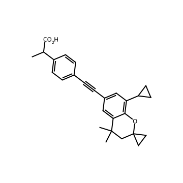 CC(C(=O)O)c1ccc(C#Cc2cc(C3CC3)c3c(c2)C(C)(C)CC2(CC2)O3)cc1